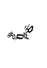 CC(C)CN(Cc1ccccc1C(F)(F)F)S(=O)(=O)c1ccc(OC2CCN(S(C)(=O)=O)CC2)cc1